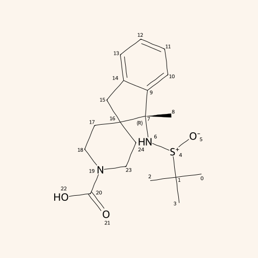 CC(C)(C)[S+]([O-])N[C@@]1(C)c2ccccc2CC12CCN(C(=O)O)CC2